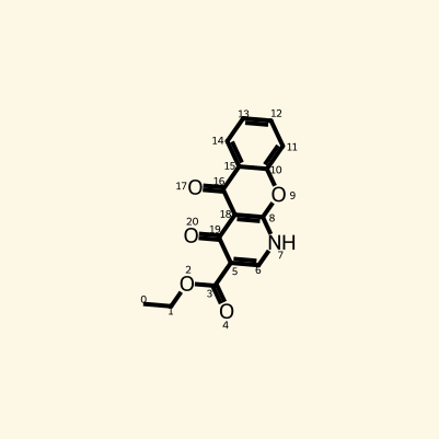 CCOC(=O)c1c[nH]c2oc3ccccc3c(=O)c2c1=O